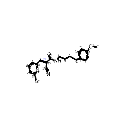 COc1ccc(CCCCNC(=O)/C(C#N)=C/c2cccc(Br)n2)cc1